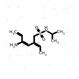 C=C/C(N)=C\C(=C/C)CS(=O)(=O)NC(C)C